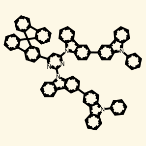 c1ccc(-n2c3ccccc3c3cc(-c4ccc5c(c4)c4ccccc4n5-c4cc(-c5ccc6c(c5)C5(c7ccccc7-c7ccccc75)c5ccccc5-6)nc(-n5c6ccccc6c6cc(-c7ccc8c(c7)c7ccccc7n8-c7ccccc7)ccc65)n4)ccc32)cc1